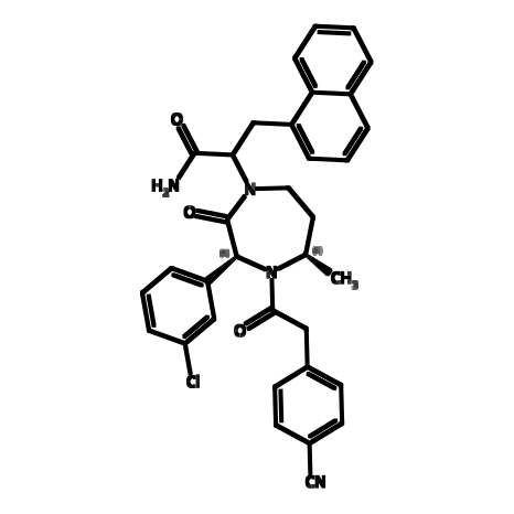 C[C@@H]1CCN(C(Cc2cccc3ccccc23)C(N)=O)C(=O)[C@H](c2cccc(Cl)c2)N1C(=O)Cc1ccc(C#N)cc1